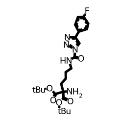 CC(C)(C)OC(=O)C(N)(CCCCNC(=O)n1cc(-c2ccc(F)cc2)nn1)C(=O)OC(C)(C)C